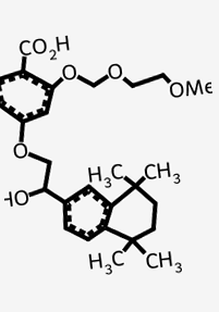 COCCOCOc1cc(OCC(O)c2ccc3c(c2)C(C)(C)CCC3(C)C)ccc1C(=O)O